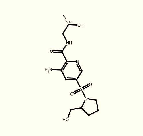 C[C@H](O)CNC(=O)c1ncc(S(=O)(=O)N2CCCC2CO)cc1N